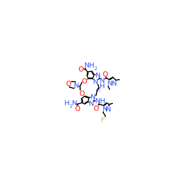 CCn1nc(C)cc1C(=O)Nc1nc2cc(C(N)=O)cc3c2n1C/C=C/Cn1c(NC(=O)c2cc(C)nn2CCF)nc2cc(C(N)=O)cc(c21)OCC(N1CCOCC1)CO3